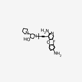 CC(C)(C#Cc1c(Oc2ccc(N)cc2F)ccnc1N)N1CC(O)C(N2CCCC2)C1